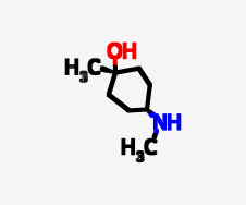 CN[C@H]1CC[C@](C)(O)CC1